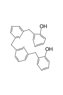 Oc1ccccc1Cc1[c]c(Cc2[c]c(Cc3ccccc3O)ccc2)ccc1